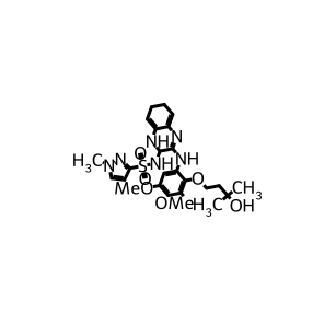 COc1cc(NC2=NC3=CCCC=C3NC2NS(=O)(=O)c2ccn(C)n2)c(OCCC(C)(C)O)c(OC)c1